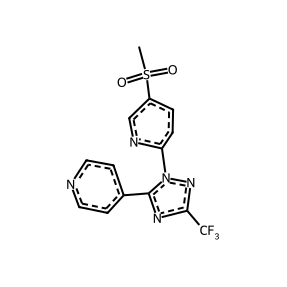 CS(=O)(=O)c1ccc(-n2nc(C(F)(F)F)nc2-c2ccncc2)nc1